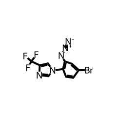 [N-]=[N+]=Nc1cc(Br)ccc1-n1cnc(C(F)(F)F)c1